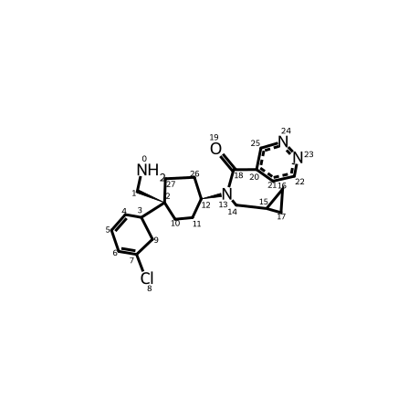 NC[C@]1(C2C=CC=C(Cl)C2)CC[C@H](N(CC2CC2)C(=O)c2ccnnc2)CC1